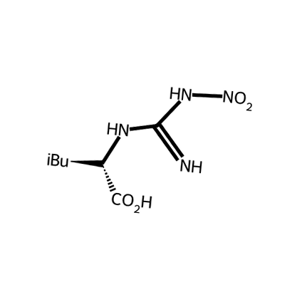 CC[C@H](C)[C@H](NC(=N)N[N+](=O)[O-])C(=O)O